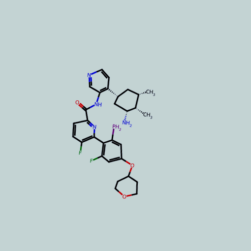 C[C@@H]1[C@H](N)C[C@H](c2ccncc2NC(=O)c2ccc(F)c(-c3c(F)cc(OC4CCOCC4)cc3P)n2)C[C@@H]1C